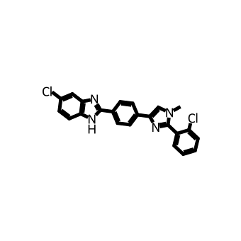 Cn1cc(-c2ccc(-c3nc4cc(Cl)ccc4[nH]3)cc2)nc1-c1ccccc1Cl